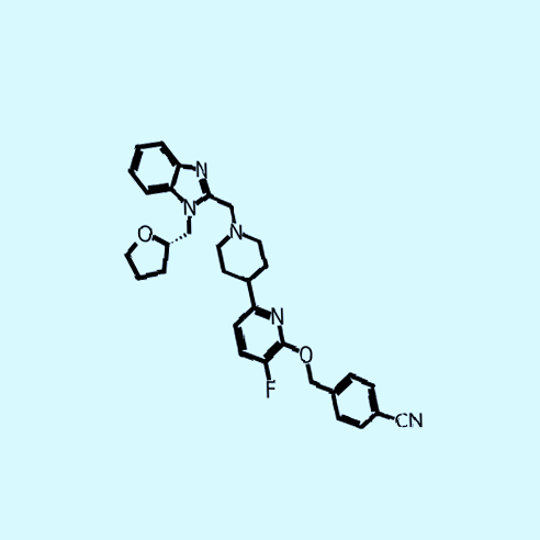 N#Cc1ccc(COc2nc(C3CCN(Cc4nc5ccccc5n4C[C@@H]4CCCO4)CC3)ccc2F)cc1